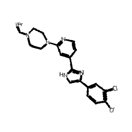 CC(C)CN1CCN(c2cc(-c3nc(-c4ccc(Cl)c(Cl)c4)c[nH]3)ccn2)CC1